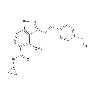 COc1c(C(=O)NC2CC2)ccc2[nH]nc(C=Cc3ccc(CC#N)cc3)c12